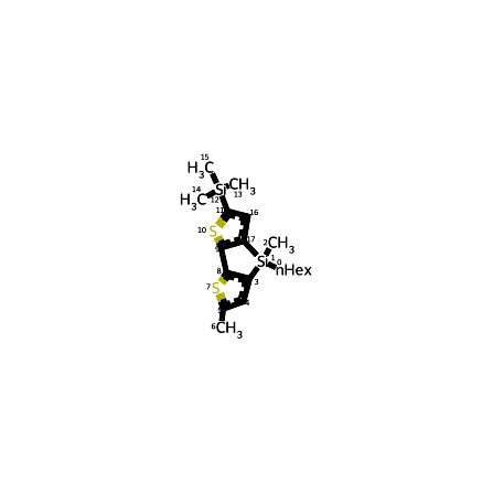 CCCCCC[Si]1(C)c2cc(C)sc2-c2sc([Si](C)(C)C)cc21